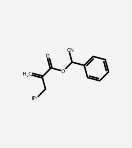 C=C(CC(C)C)C(=O)OC(C#N)c1ccccc1